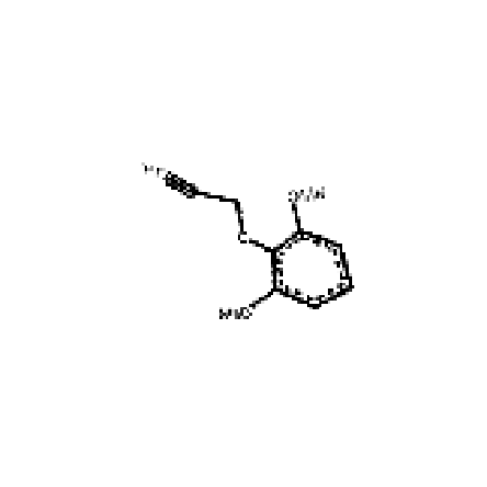 C#CCOc1c(OC)cccc1OC